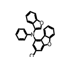 Clc1cc(N(c2ccccc2)c2coc3ccccc23)c2c(c1)oc1ccccc12